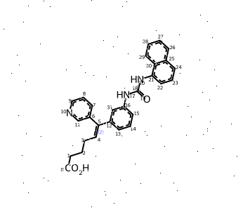 O=C(O)CCC/C=C(\c1cccnc1)c1cccc(NC(=O)Nc2cccc3ccccc23)c1